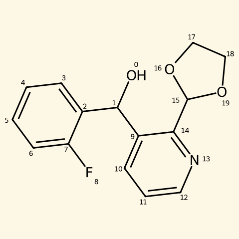 OC(c1ccccc1F)c1cccnc1C1OCCO1